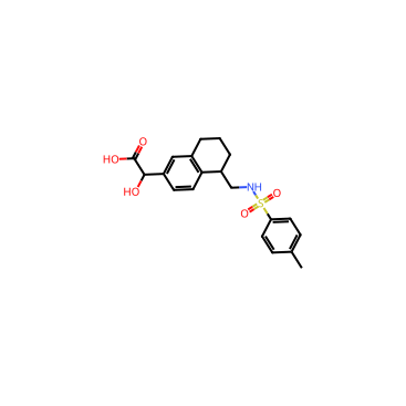 Cc1ccc(S(=O)(=O)NCC2CCCc3cc(C(O)C(=O)O)ccc32)cc1